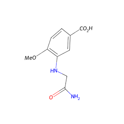 COc1ccc(C(=O)O)cc1NCC(N)=O